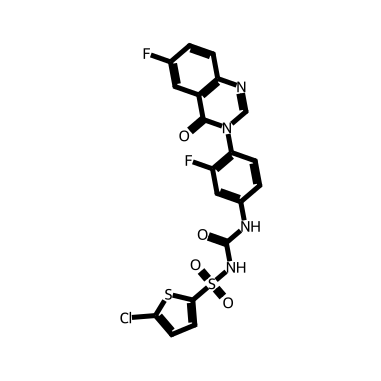 O=C(Nc1ccc(-n2cnc3ccc(F)cc3c2=O)c(F)c1)NS(=O)(=O)c1ccc(Cl)s1